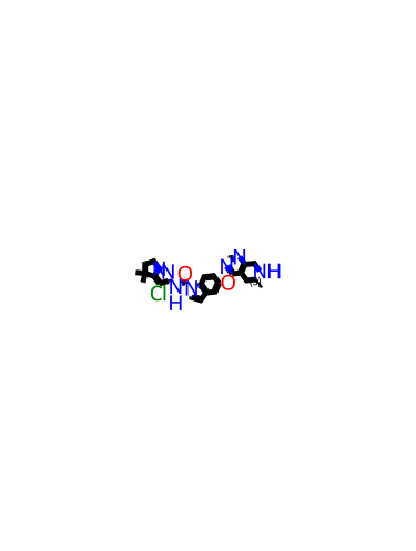 C[C@H]1Cc2c(ncnc2Oc2ccc3c(ccn3C(=O)Nc3nn4c(c3Cl)C(C)(C)CC4)c2)CN1